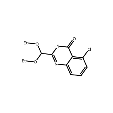 CCOC(OCC)c1nc2cccc(Cl)c2c(=O)[nH]1